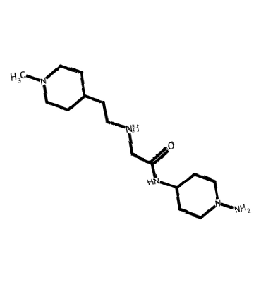 CN1CCC(CCNCC(=O)NC2CCN(N)CC2)CC1